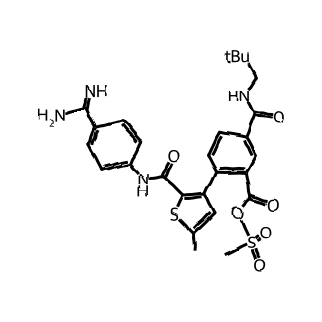 Cc1cc(-c2ccc(C(=O)NCC(C)(C)C)cc2C(=O)OS(C)(=O)=O)c(C(=O)Nc2ccc(C(=N)N)cc2)s1